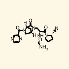 N#C[C@@H]1CCCN1C(=O)[C@@H](BOCN)CN1C(=O)[C@@H]2C[C@H]1CN2C(=O)c1cnccn1